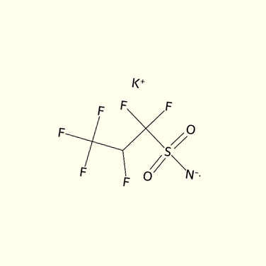 [K+].[N-]S(=O)(=O)C(F)(F)C(F)C(F)(F)F